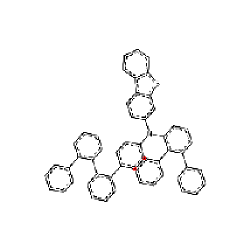 c1ccc(-c2ccccc2-c2ccccc2-c2ccc(N(c3ccc4c(c3)sc3ccccc34)c3cccc(-c4ccccc4)c3-c3ccccc3)cc2)cc1